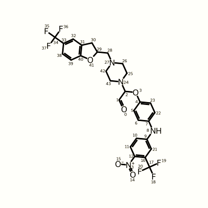 O=CC(Oc1ccc(Nc2ccc([N+](=O)[O-])c(C(F)(F)F)c2)cc1)N1CCN(CC2Cc3cc(C(F)(F)F)ccc3O2)CC1